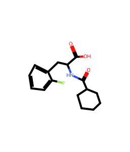 O=C(NC(Cc1ccccc1F)C(=O)O)C1CCCCC1